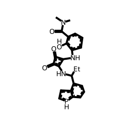 CCC(Nc1c(Nc2cccc(C(=O)N(C)C)c2O)c(=O)c1=O)c1cccc2[pH]ccc12